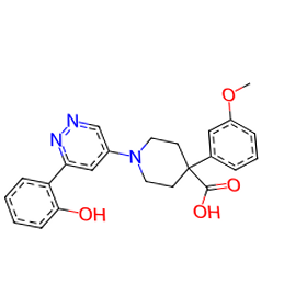 COc1cccc(C2(C(=O)O)CCN(c3cnnc(-c4ccccc4O)c3)CC2)c1